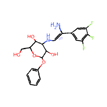 N/C(=C\NC1C(O)C(CO)OC(Oc2ccccc2)C1O)c1cc(F)c(F)c(F)c1